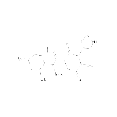 CCCCCCN(C(=O)N1CC(=O)N(C)C(c2cc[nH]c2)C1=O)C1=C(C)CC(C)=CC1C